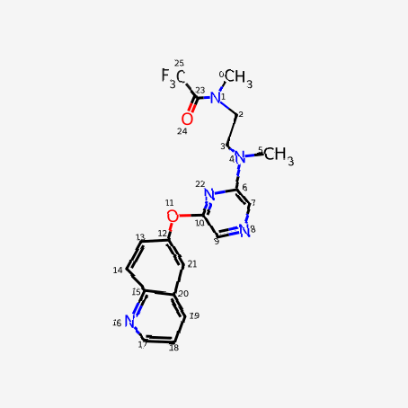 CN(CCN(C)c1cncc(Oc2ccc3ncccc3c2)n1)C(=O)C(F)(F)F